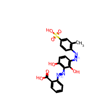 Cc1cc(S(=O)(=O)O)ccc1/N=N\c1ccc(O)c(/N=N/c2ccccc2C(=O)O)c1O